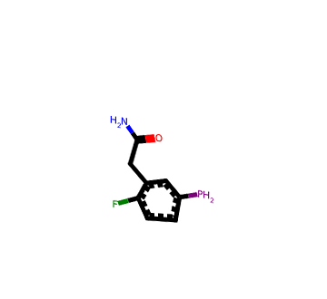 NC(=O)Cc1cc(P)ccc1F